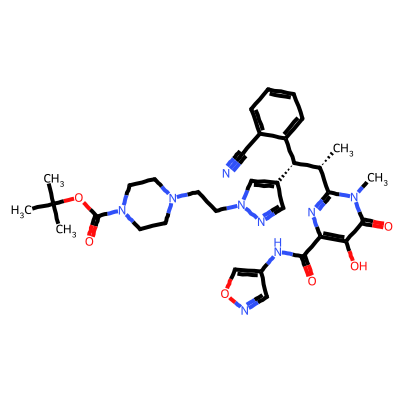 C[C@H](c1nc(C(=O)Nc2cnoc2)c(O)c(=O)n1C)[C@H](c1cnn(CCN2CCN(C(=O)OC(C)(C)C)CC2)c1)c1ccccc1C#N